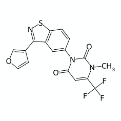 Cn1c(C(F)(F)F)cc(=O)n(-c2ccc3snc(-c4ccoc4)c3c2)c1=O